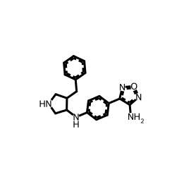 Nc1nonc1-c1ccc(NC2CNCC2Cc2ccccc2)cc1